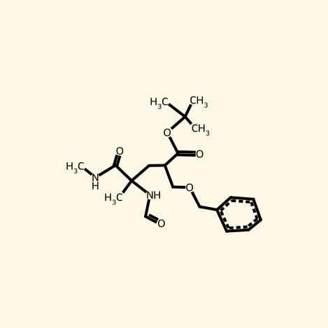 CNC(=O)C(C)(CC(COCc1ccccc1)C(=O)OC(C)(C)C)NC=O